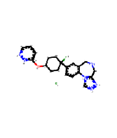 Cl.ClC1(c2ccc3c(c2)CNCc2nncn2-3)CCC(Oc2cccnn2)CC1